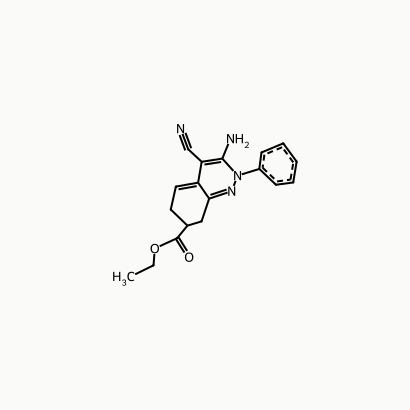 CCOC(=O)C1CC=C2C(=NN(c3ccccc3)C(N)=C2C#N)C1